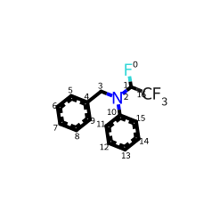 FC(N(Cc1ccccc1)c1ccccc1)C(F)(F)F